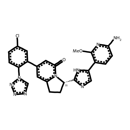 COc1nc(N)ccc1-c1cnc([C@@H]2CCc3cc(-c4cc(Cl)ccc4-n4cnnn4)cc(=O)n32)[nH]1